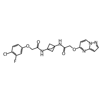 O=C(COc1ccc(Cl)c(F)c1)NC12CC(NC(=O)COc3ccn4nccc4n3)(C1)C2